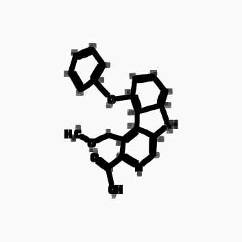 COCc1c(C(=O)O)ncc2[nH]c3cccc(Oc4ccccc4)c3c12